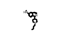 CCCCN1CCC(c2nccc3cc(NC)ccc23)CC1